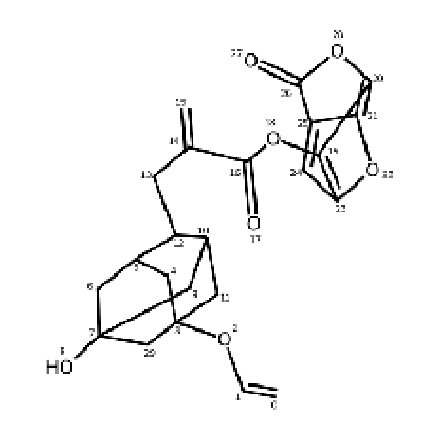 C=COC12CC3CC(O)(CC(C1)C3CC(=C)C(=O)Oc1c3c4oc1cc4C(=O)O3)C2